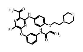 C=CC(=O)Nc1cccc(Oc2nc(Nc3ccc(OCCN4CCOCC4)cc3)c(C(N)=O)nc2CC)c1